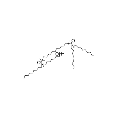 CCCCCCCCCN(CCCCCCCCC)C(=O)C(C)(C)CCCCCC(O)CCCCCC(C)(C)C(=O)N(CCCCCCCCC)CCCCCCCCC